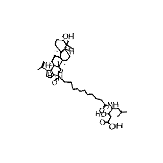 C=C(C)[C@@H]1CC[C@]2(C(=O)NCCCCCCCCCCC(=O)N[C@@H](CC(C)C)[C@@H](O)CC(=O)O)CC[C@]3(C)[C@H](CCC4[C@@]5(C)CC[C@H](O)C(C)(C)[C@@H]5CC[C@]43C)[C@@H]12